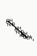 CCNC(=O)CNCC(=O)NCC(=O)NCCCCCC(=O)NCCCCCC(=O)NCCCCCC(=O)O